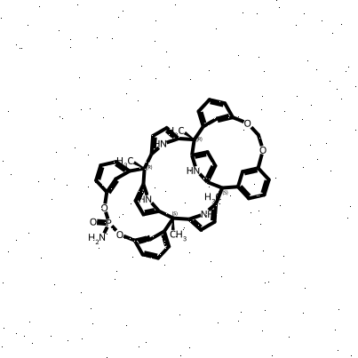 C[C@]12c3cccc(c3)OCOc3cccc(c3)[C@](C)(c3ccc1[nH]3)c1ccc([nH]1)[C@@]1(C)c3cccc(c3)OP(N)(=O)Oc3cccc(c3)[C@@](C)(c3ccc2[nH]3)c2ccc1[nH]2